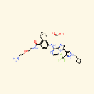 CCc1cc(Nc2nccn3c(-c4cn(CC5CCC5)nc4C(F)(F)F)cnc23)ccc1C(=O)NCCOCCN.O=CO